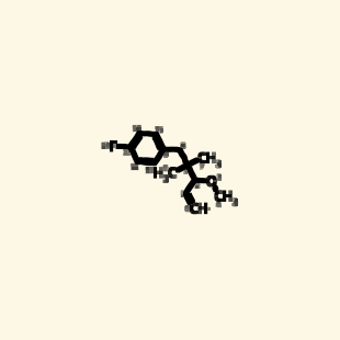 [CH]=CC(OC)C(C)(C)Cc1ccc(F)cc1